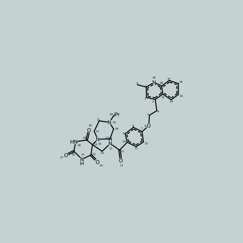 Cc1cc(CCOc2ccc(C(=O)NCC3(N4CCN(C(C)C)CC4)C(=O)NC(=O)NC3=O)cc2)c2ccccc2n1